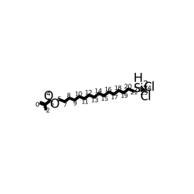 C=C(C)C(=O)OCCCCCCCCCCCCCCCC[SiH2]C(Cl)Cl